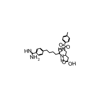 Cc1ccc(S(=O)(=O)NCC(CC(=O)O)NC(=O)CCCCc2ccc(C(=N)N)cc2)cc1